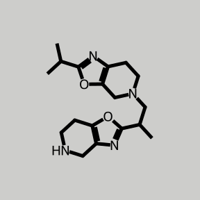 CC(C)c1nc2c(o1)CN(CC(C)c1nc3c(o1)CCNC3)CC2